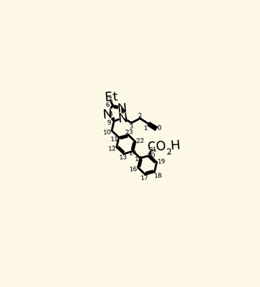 C#CCCn1nc(CC)nc1Cc1ccc(-c2ccccc2C(=O)O)cc1